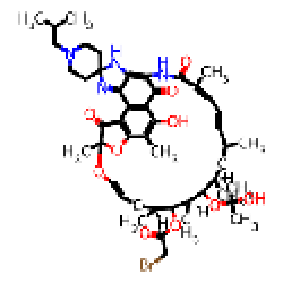 C/C1=C/C=C/C(C)C[C@@H](C)C(OC(C)(C)O)[C@@H](C)C(OC(=O)CBr)[C@H](C)C/C=C/OC2(C)Oc3c(C)c(O)c4c(c3C2=O)C2=NC3(CCN(CC(C)C)CC3)NC2=C(NC1=O)C4=O